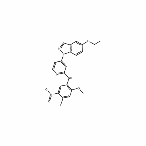 CCOc1ccc2c(cnn2-c2ccnc(Nc3cc([N+](=O)[O-])c(F)cc3OC)n2)c1